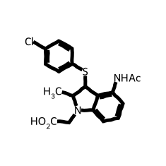 CC(=O)Nc1cccc2c1C(Sc1ccc(Cl)cc1)C(C)N2CC(=O)O